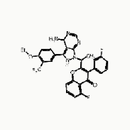 CCOc1ccc(C2=C3C(=NC=NC3N)N(C(C)c3oc4cccc(F)c4c(=O)c3-c3cccc(F)c3)N2)cc1C(F)(F)F